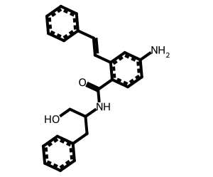 Nc1ccc(C(=O)NC(CO)Cc2ccccc2)c(C=Cc2ccccc2)c1